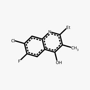 CCc1nc2cc(Cl)c(F)cc2c(O)c1C